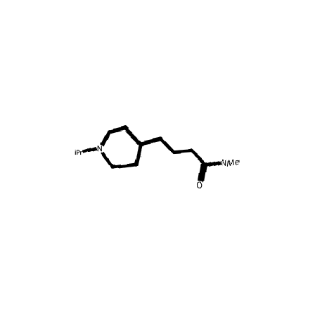 CNC(=O)CCCC1CCN(C(C)C)CC1